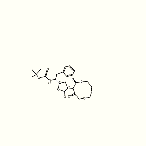 CC(C)(C)OC(=O)NC(Cc1ccccc1)[C@@H]1C[C@@H](C2C(=O)CCCSCCCC2=O)C(=O)O1